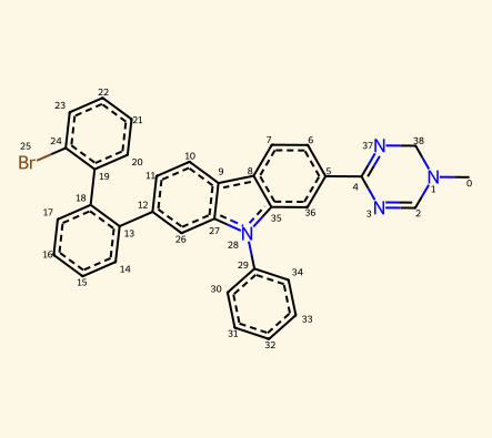 CN1C=NC(c2ccc3c4ccc(-c5ccccc5-c5ccccc5Br)cc4n(-c4ccccc4)c3c2)=NC1